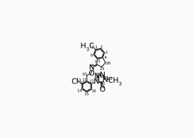 Cc1ccc2c(c1)C(=NOCc1c(Cl)cccc1-n1nnn(C)c1=O)CC2